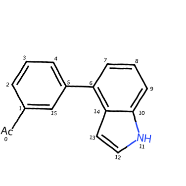 CC(=O)c1cccc(-c2cccc3[nH]ccc23)c1